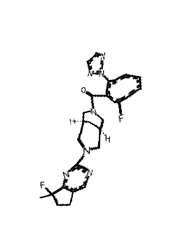 CC1(F)CCc2cnc(N3C[C@H]4CN(C(=O)c5c(F)cccc5-n5nccn5)C[C@H]4C3)nc21